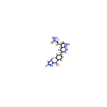 Cn1cc(F)nc1C(=O)c1ccc(-c2cnc3[nH]cc(C=CC(N)=O)c3c2)cc1